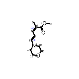 COC(=O)/C(C)=C\C=C\N1CCOCC1